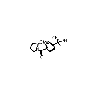 COC1CCCN1C(=O)c1ccc(C(C)(O)C(F)(F)F)cc1